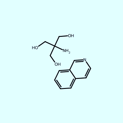 NC(CO)(CO)CO.c1ccc2cnccc2c1